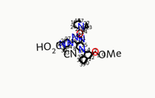 COCOc1cc(N2CCc3c(nc(OCC4(N5CCCCC5)CC4)nc3N3CCN(C(=O)O)C(CC#N)C3)C2)c2ccccc2c1